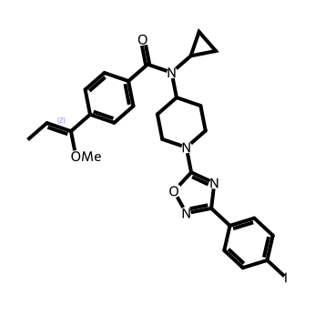 C/C=C(\OC)c1ccc(C(=O)N(C2CC2)C2CCN(c3nc(-c4ccc(I)cc4)no3)CC2)cc1